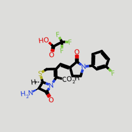 N[C@@H]1C(=O)N2C(C(=O)O)=C(C=C3CCN(c4cccc(F)c4)C3=O)CS[C@H]12.O=C(O)C(F)(F)F